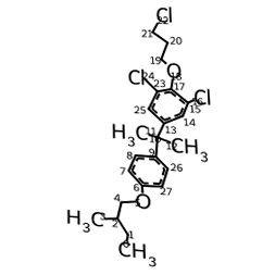 CCC(C)COc1ccc(C(C)(C)c2cc(Cl)c(OCCCCl)c(Cl)c2)cc1